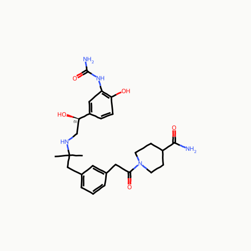 CC(C)(Cc1cccc(CC(=O)N2CCC(C(N)=O)CC2)c1)NC[C@@H](O)c1ccc(O)c(NC(N)=O)c1